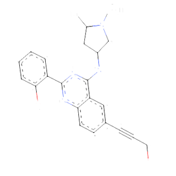 CC(C)(C)C1CC(Nc2nc(-c3ccccc3O)nc3ccc(C#CCO)cc23)CN1C(=O)O